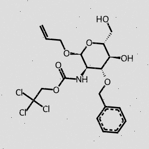 C=CCO[C@H]1O[C@H](CO)[C@@H](O)[C@H](OCc2ccccc2)[C@H]1NC(=O)OCC(Cl)(Cl)Cl